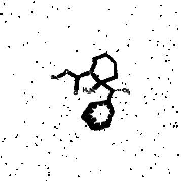 C[C@H](c1ccccc1)C1(N)CCCCN1C(=O)OC(C)(C)C